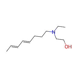 CC=CC=CCCCN(CC)CCO